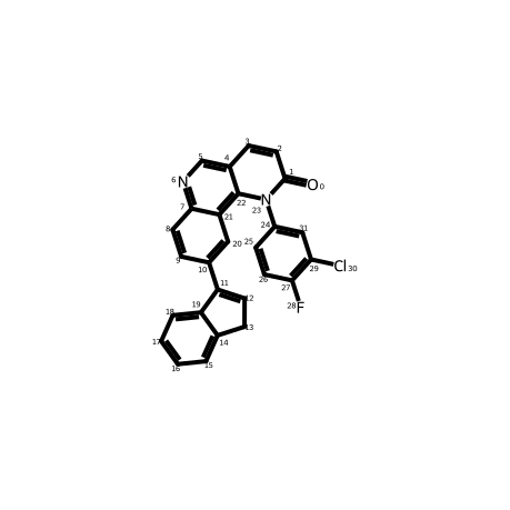 O=c1ccc2cnc3ccc(C4=CCc5ccccc54)cc3c2n1-c1ccc(F)c(Cl)c1